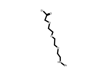 CCC(=O)COCCOCCOCCNC(C)C